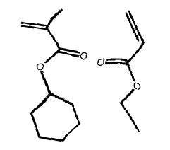 C=C(C)C(=O)OC1CCCCC1.C=CC(=O)OCC